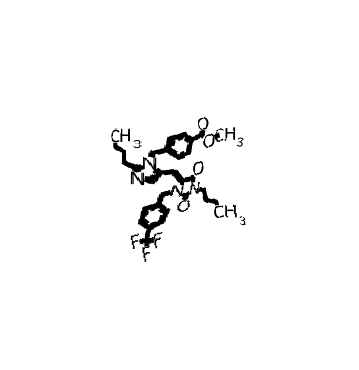 CCCCc1ncc(/C=C2/C(=O)N(CCCC)C(=O)N2Cc2ccc(C(F)(F)F)cc2)n1Cc1ccc(C(=O)OC)cc1